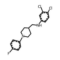 Fc1ccc(N2CCC(CNc3ccc(Cl)c(Cl)c3)CC2)cc1